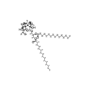 CCCCCCCCCCCCCCCC(=O)OCC(COC1O[C@H]([C@@H](O)C(C)=O)[C@](O)(C(C)=O)[C@@](O)(C(C)=O)[C@]1(O)C(C)=O)OC(=O)CCCCCCCCCCCCCCC